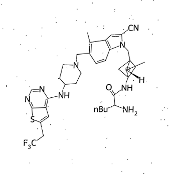 CCCCC(N)C(=O)NC12CC(Cn3c(C#N)cc4c(C)c(CN5CCC(Nc6ncnc7sc(CC(F)(F)F)cc67)CC5)ccc43)(C1)[C@@H]2C